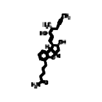 CC#CC[C@@H](C)[C@@H](O)/C=C/[C@@H]1[C@H]2c3cccc(CCCCC(N)=O)c3O[C@H]2C[C@H]1O